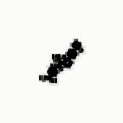 Cl.N=C(N)c1ccc(NC(=O)[C@H](O)[C@H]2OCCN(c3ccc(N4CCOC4=O)cc3)C2=O)cc1